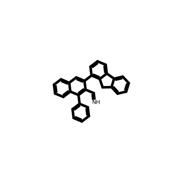 N=Cc1c(-c2cccc3c2Cc2ccccc2-3)cc2ccccc2c1-c1ccccc1